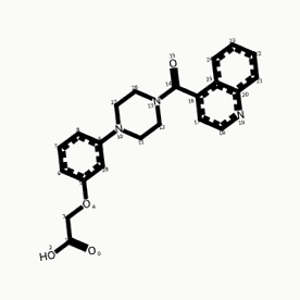 O=C(O)COc1cccc(N2CCN(C(=O)c3ccnc4ccccc34)CC2)c1